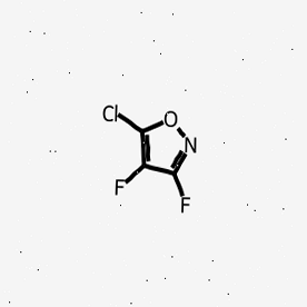 Fc1noc(Cl)c1F